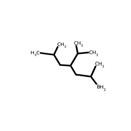 BC(C)CC(CC(C)C)C(C)C